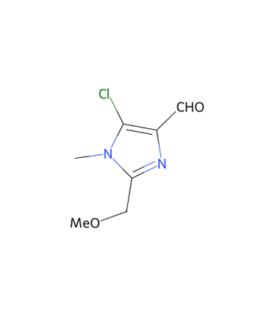 COCc1nc(C=O)c(Cl)n1C